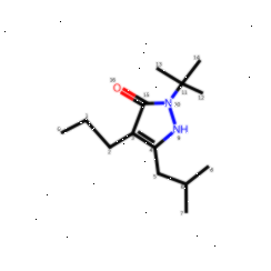 CCCc1c(CC(C)C)[nH]n(C(C)(C)C)c1=O